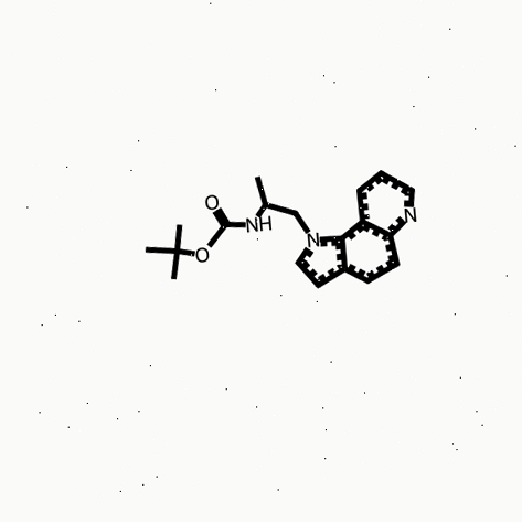 CC(Cn1ccc2ccc3ncccc3c21)NC(=O)OC(C)(C)C